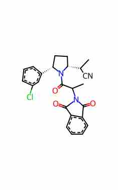 CC(C#N)[C@H]1CC[C@@H](c2cccc(Cl)c2)N1C(=O)C(C)N1C(=O)c2ccccc2C1=O